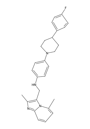 Cc1nc2cccc(C)n2c1CNc1ccc(N2CCC(c3ccc(F)cc3)CC2)cc1